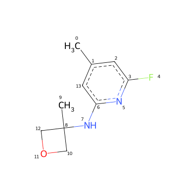 Cc1cc(F)nc(NC2(C)COC2)c1